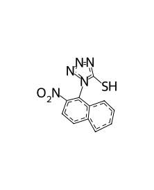 O=[N+]([O-])c1ccc2ccccc2c1-n1nnnc1S